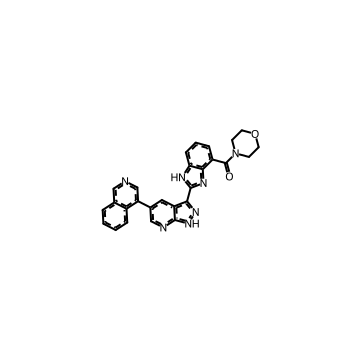 O=C(c1cccc2[nH]c(-c3n[nH]c4ncc(-c5cncc6ccccc56)cc34)nc12)N1CCOCC1